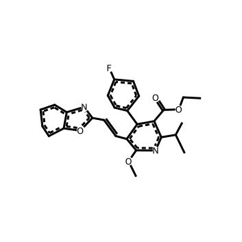 CCOC(=O)c1c(C(C)C)nc(OC)c(C=Cc2nc3ccccc3o2)c1-c1ccc(F)cc1